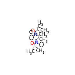 CCC(CC)C(=O)N1c2c(C)cccc2C(N(C(=O)C(CC)CC)c2ccccc2C)CC1C